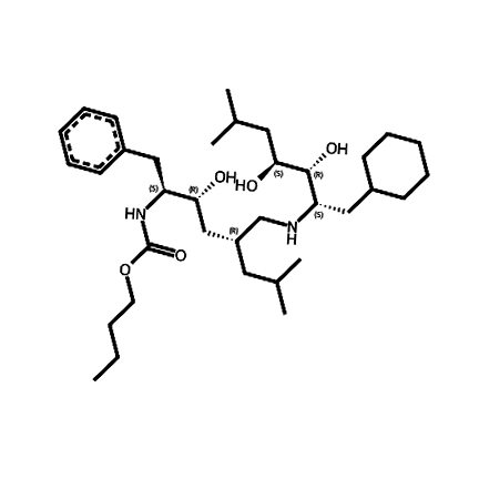 CCCCOC(=O)N[C@@H](Cc1ccccc1)[C@H](O)C[C@H](CN[C@@H](CC1CCCCC1)[C@@H](O)[C@@H](O)CC(C)C)CC(C)C